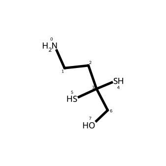 NCCC(S)(S)CO